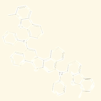 Cc1cccc2c1oc1c(N(c3ccccc3)c3cc4c(oc5cc(N(c6ccccc6)c6cccc7c6oc6c(C)cccc67)c6ccccc6c54)c4ccccc34)cccc12